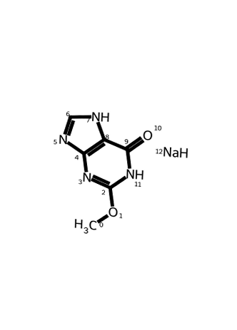 COc1nc2nc[nH]c2c(=O)[nH]1.[NaH]